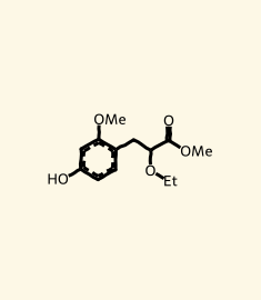 CCOC(Cc1ccc(O)cc1OC)C(=O)OC